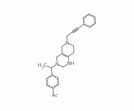 CC(=O)c1ccc(C(C)N2CNC3=C(CN(CC#Cc4ccccc4)CC3)C2)cc1